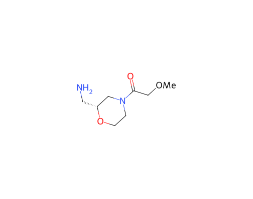 COCC(=O)N1CCO[C@H](CN)C1